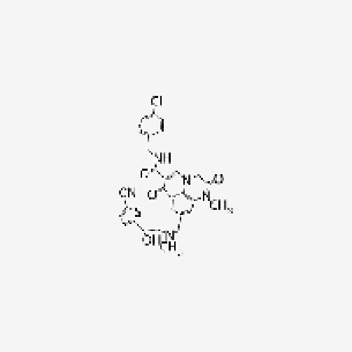 CN(Cc1cc2c3c(c1)c(=O)c(C(=O)NCc1ccc(Cl)cc1)cn3CC(=O)N2C)CC(O)c1ccc(C#N)s1